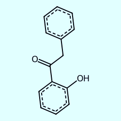 O=C(Cc1ccccc1)c1ccccc1O